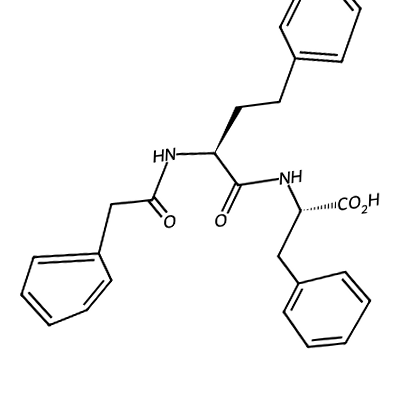 O=C(Cc1ccccc1)N[C@@H](CCc1ccccc1)C(=O)N[C@@H](Cc1ccccc1)C(=O)O